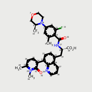 Cc1cc(N2CCOC[C@@H]2C(F)(F)F)cc(F)c1C(=O)N[C@@H](Cc1ccc(-c2ccc(C)n(C)c2=O)c2ncccc12)C(=O)O